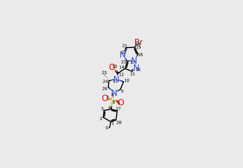 Cc1ccc(S(=O)(=O)N2CCN(C(=O)c3cnn4cc(Br)cnc34)[C@@H](C)C2)cc1